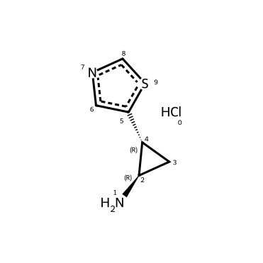 Cl.N[C@@H]1C[C@H]1c1cncs1